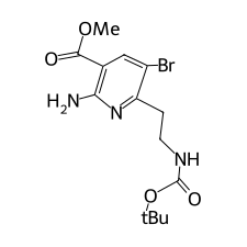 COC(=O)c1cc(Br)c(CCNC(=O)OC(C)(C)C)nc1N